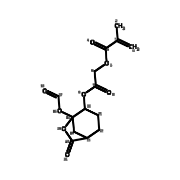 C=C(C)C(=O)OCC(=O)OC1CCC2CC1(OC=O)OC2=O